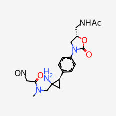 CC(=O)NC[C@H]1CN(c2ccc([C@H]3C[C@]3(N)CN(C)C(=O)CN=O)cc2)C(=O)O1